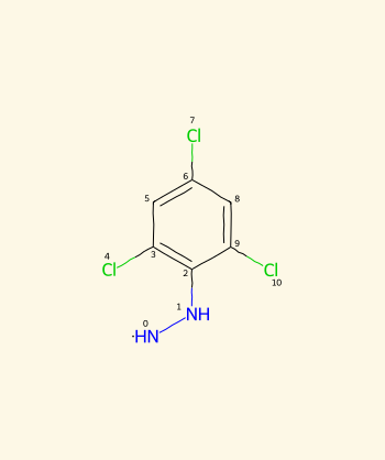 [NH]Nc1c(Cl)cc(Cl)cc1Cl